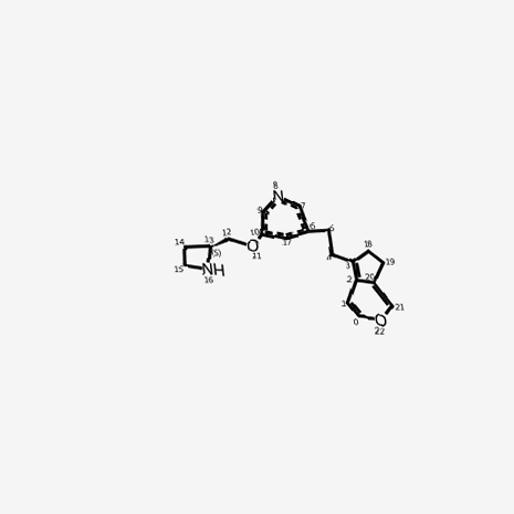 C1=CC2=C(CCc3cncc(OC[C@@H]4CCN4)c3)CCC2=CO1